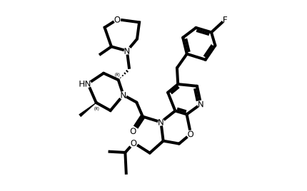 CC(C)OCC1COc2ncc(Cc3ccc(F)cc3)cc2N1C(=O)CN1C[C@@H](C)NC[C@@H]1CN1CCOCC1C